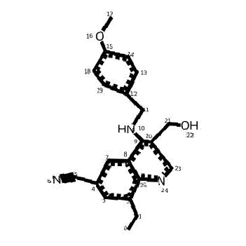 CCc1cc(C#N)cc2c(NCc3ccc(OC)cc3)c(CO)cnc12